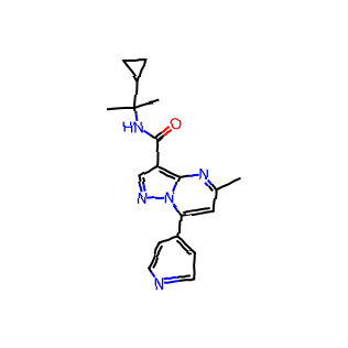 Cc1cc(-c2ccncc2)n2ncc(C(=O)NC(C)(C)C3CC3)c2n1